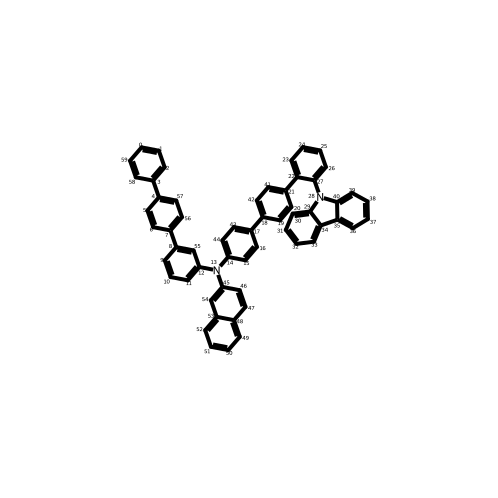 c1ccc(-c2ccc(-c3cccc(N(c4ccc(-c5ccc(-c6ccccc6-n6c7ccccc7c7ccccc76)cc5)cc4)c4ccc5ccccc5c4)c3)cc2)cc1